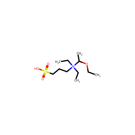 [CH2]C(OCC)[N+](CC)(CC)CCCS(=O)(=O)O